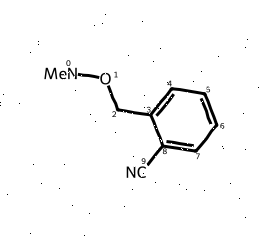 CNOCc1ccccc1C#N